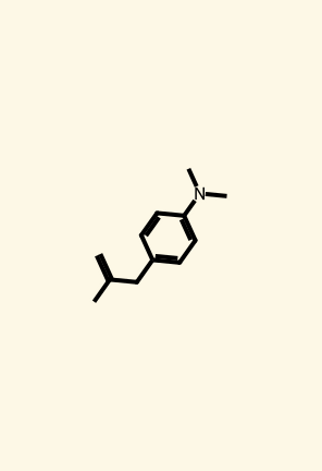 C=C(C)Cc1ccc(N(C)C)cc1